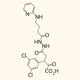 O=C(CCCNc1ccccn1)NNC(=O)CC(C(=O)C(=O)O)c1cc(Cl)cc(Cl)c1